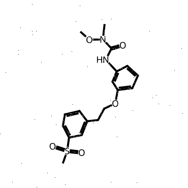 CON(C)C(=O)Nc1cccc(OCCc2cccc(S(C)(=O)=O)c2)c1